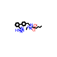 CCCCC(OC)(OC)c1nc(Cc2ccc(-c3ccccc3-c3nnn[nH]3)cc2)n(CC)n1